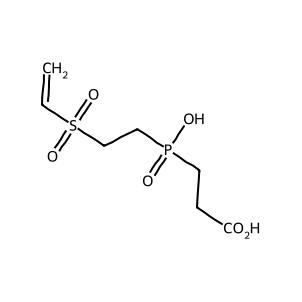 C=CS(=O)(=O)CCP(=O)(O)CCC(=O)O